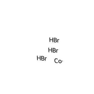 Br.Br.Br.[Co]